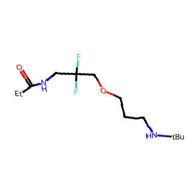 CCC(=O)NCC(F)(F)COCCCNC(C)(C)C